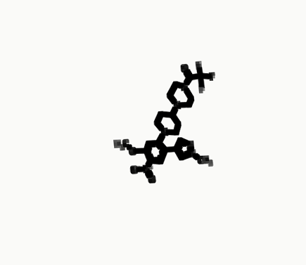 COc1cc(N2CCC(N3CCN(C(=O)C(F)(F)F)CC3)CC2)c(-c2cnn(C)c2)cc1[N+](=O)[O-]